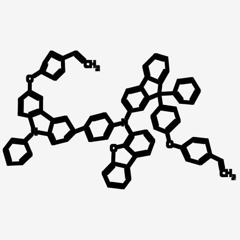 C=Cc1ccc(Oc2ccc(C3(c4ccccc4)c4ccccc4-c4ccc(N(c5ccc(-c6ccc7c(c6)c6cc(Oc8ccc(C=C)cc8)ccc6n7-c6ccccc6)cc5)c5cccc6c5oc5ccccc56)cc43)cc2)cc1